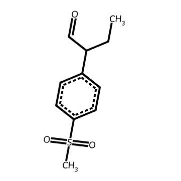 CCC(C=O)c1ccc(S(C)(=O)=O)cc1